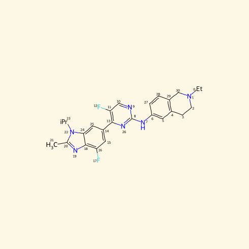 CCN1CCc2cc(Nc3ncc(F)c(-c4cc(F)c5nc(C)n(C(C)C)c5c4)n3)ccc2C1